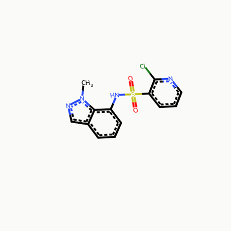 Cn1ncc2cccc(NS(=O)(=O)c3cccnc3Cl)c21